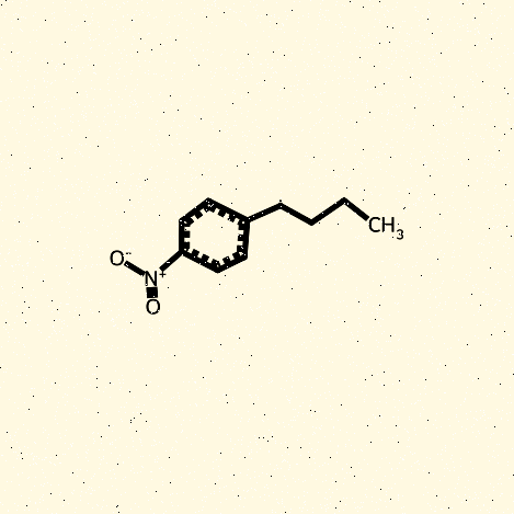 CCC[CH]c1ccc([N+](=O)[O-])cc1